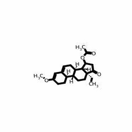 CC[C@]12CC[C@H]3[C@@H](CC=C4C=C(OC)CC[C@@H]43)[C@@H]1C(OC(C)=O)CC2=O